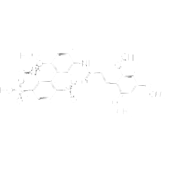 COc1cc(OC)c(C=CC(=O)Nc2ccc(OC)c(-c3c([N+](=O)[O-])ccc(S(=O)(=O)O)c3[N+](=O)[O-])c2)c(OC)c1